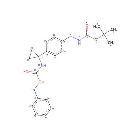 CC(C)(C)OC(=O)NCc1ccc(C2(NC(=O)OCc3ccccc3)CC2)cc1